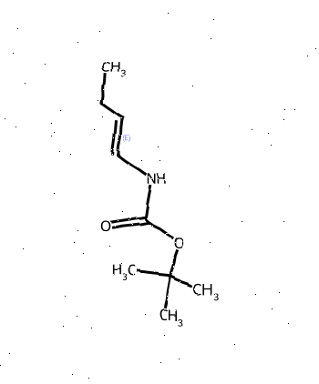 CC/C=C/NC(=O)OC(C)(C)C